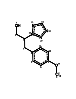 OCC(Cc1ccc(OC(F)(F)F)cc1)n1ncnn1